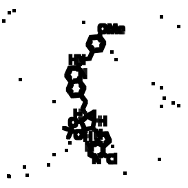 COc1ccc(CNc2ccc3ccc(CC[C@@]45C[C@@H]4[C@@H](n4ccc6c(Cl)ncnc64)[C@@H]4OC(C)(C)O[C@@H]45)cc3n2)cc1